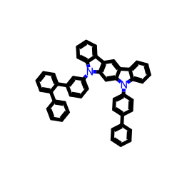 c1ccc(-c2ccc(-n3c4ccccc4c4cc5c6ccccc6n(-c6cccc(-c7ccccc7-c7ccccc7)c6)c5cc43)cc2)cc1